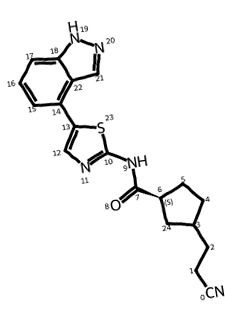 N#CCCC1CC[C@H](C(=O)Nc2ncc(-c3cccc4[nH]ncc34)s2)C1